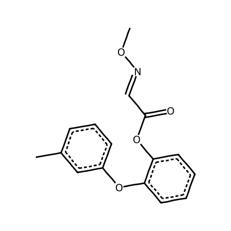 CON=CC(=O)Oc1ccccc1Oc1cccc(C)c1